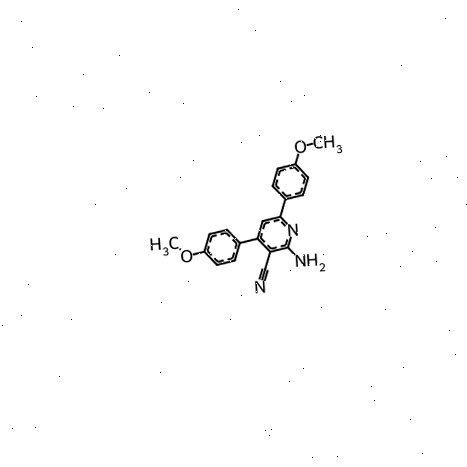 COc1ccc(-c2cc(-c3ccc(OC)cc3)c(C#N)c(N)n2)cc1